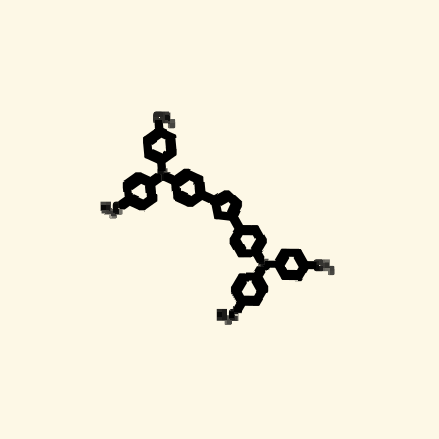 Cc1ccc(N(c2ccc(C)cc2)c2ccc(C3=CC=C(c4ccc(N(c5ccc(C)cc5)c5ccc(C)cc5)cc4)C3)cc2)cc1